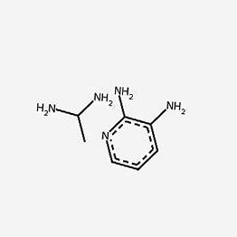 CC(N)N.Nc1cccnc1N